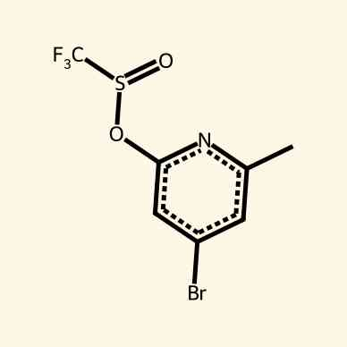 Cc1cc(Br)cc(OS(=O)C(F)(F)F)n1